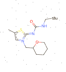 Cc1cn(CC2CCCCO2)/c(=N/C(=O)NCC(C)(C)C)s1